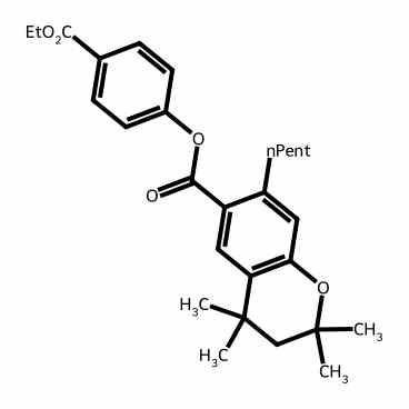 CCCCCc1cc2c(cc1C(=O)Oc1ccc(C(=O)OCC)cc1)C(C)(C)CC(C)(C)O2